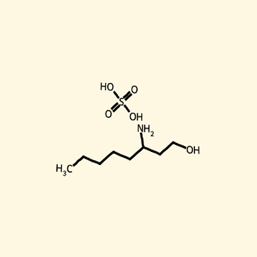 CCCCCC(N)CCO.O=S(=O)(O)O